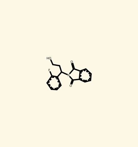 O=C1c2ccccc2C(=O)N1C(CCO)c1ccccc1F